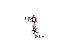 Cc1ccc(COC2CC3(C2)CN(C(=O)O)C3)cc1C(F)(F)F